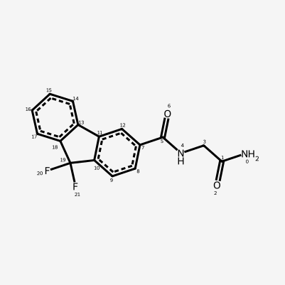 NC(=O)CNC(=O)c1ccc2c(c1)-c1ccccc1C2(F)F